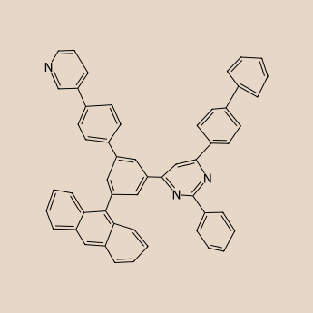 c1ccc(-c2ccc(-c3cc(-c4cc(-c5ccc(-c6cccnc6)cc5)cc(-c5c6ccccc6cc6ccccc56)c4)nc(-c4ccccc4)n3)cc2)cc1